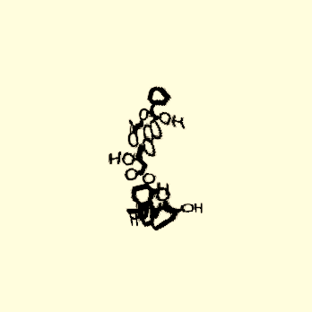 C[C@H](OC(=O)[C@@H](O)CC(=O)OC1=CC[C@@]2(O)[C@H]3Cc4ccc(O)c5c4[C@@]2(CCN3C)[C@H]1O5)C(=O)O[C@H](C(=O)O)c1ccccc1